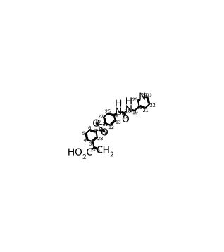 C=C(C(=O)O)c1cccc(S(=O)(=O)c2ccc(NC(=O)NCc3cccnc3)cc2)c1